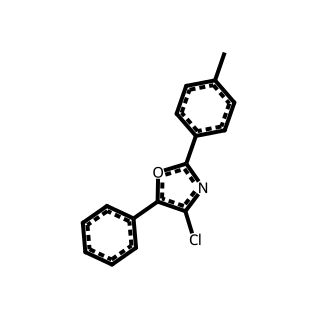 Cc1ccc(-c2nc(Cl)c(-c3ccccc3)o2)cc1